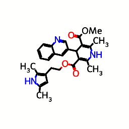 COC(=O)C1=C(C)NC(C)=C(C(=O)OCCc2cc(C)[nH]c2C)C1c1cnc2ccccc2c1